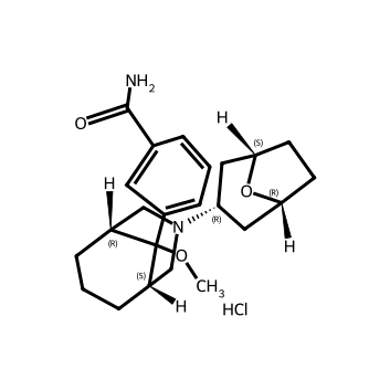 COC1(c2cccc(C(N)=O)c2)[C@@H]2CCC[C@H]1CN([C@H]1C[C@H]3CC[C@@H](C1)O3)C2.Cl